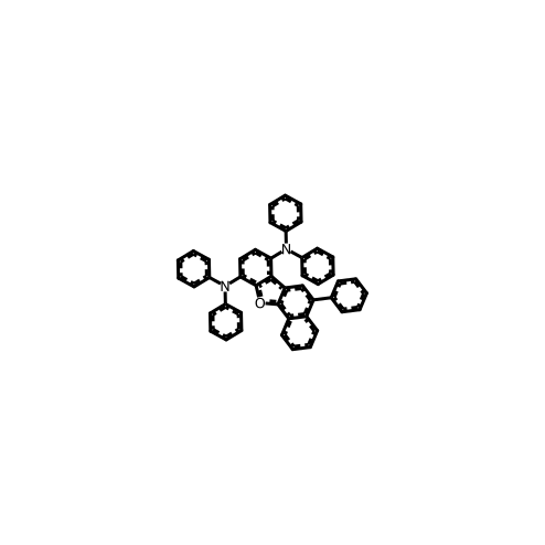 c1ccc(-c2cc3c(oc4c(N(c5ccccc5)c5ccccc5)ccc(N(c5ccccc5)c5ccccc5)c43)c3ccccc23)cc1